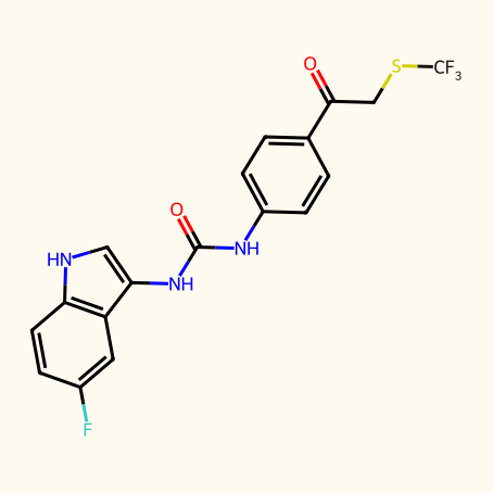 O=C(Nc1ccc(C(=O)CSC(F)(F)F)cc1)Nc1c[nH]c2ccc(F)cc12